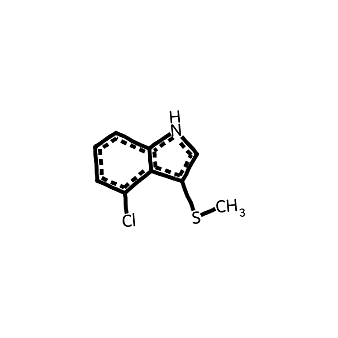 CSc1c[nH]c2cccc(Cl)c12